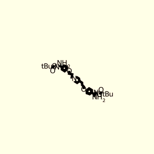 CC(C)(C)C(=O)ON=C(N)c1ccc(OCCCC2CCN(CCCOc3ccc(C(N)=NOC(=O)C(C)(C)C)cc3)CC2)cc1